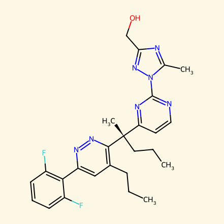 CCCc1cc(-c2c(F)cccc2F)nnc1[C@@](C)(CCC)c1ccnc(-n2nc(CO)nc2C)n1